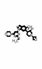 COc1nc(N2CCOCC2)cc(-n2ncc3cc(C)c(C4CCN(C5COC5)CC4(F)F)cc32)n1